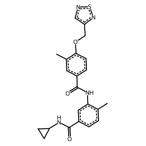 Cc1ccc(C(=O)NC2CC2)cc1NC(=O)c1ccc(OCc2cnsn2)c(C)c1